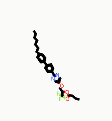 CCCCCCCc1ccc(-c2ccc(-c3ncc(OCC(OC(=O)CCC)C(F)(F)F)cn3)cc2)cc1